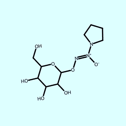 [O-][N+](=NOC1OC(CO)C(O)C(O)C1O)N1CCCC1